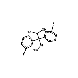 CCCCNC(c1cccc(F)c1)(c1cccc(F)c1)C(C)O